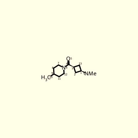 CN[C@H]1C[C@@H](C(=O)N2CCC(C)CC2)C1